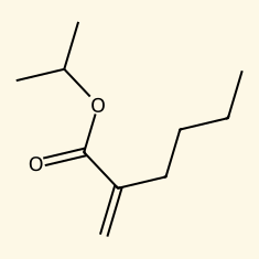 C=C(CCCC)C(=O)OC(C)C